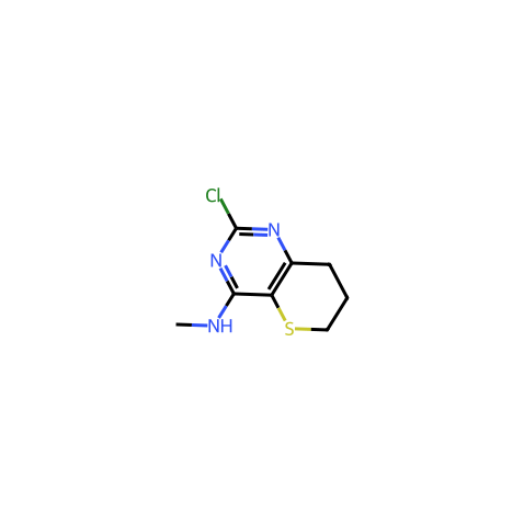 CNc1nc(Cl)nc2c1SCCC2